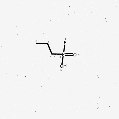 CCCP(=O)(O)F